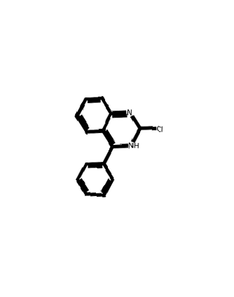 ClC1N=c2ccccc2=C(c2ccccc2)N1